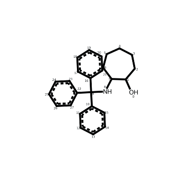 OC1CCCCCC1NC(c1ccccc1)(c1ccccc1)c1ccccc1